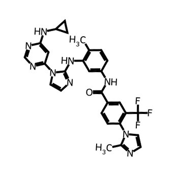 Cc1ccc(NC(=O)c2ccc(-n3ccnc3C)c(C(F)(F)F)c2)cc1Nc1nccn1-c1cc(NC2CC2)ncn1